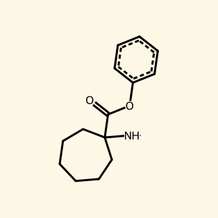 [NH]C1(C(=O)Oc2ccccc2)CCCCCC1